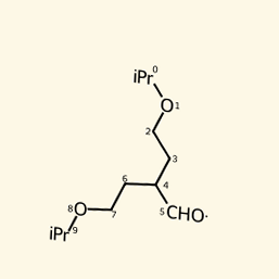 CC(C)OCCC([C]=O)CCOC(C)C